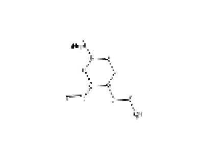 C=CC1CN(CCCCCCC)CCC1CCO